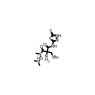 CN(O[SiH](C)C)C(=O)C(N)(CC(C)(C)C)C(=O)Nc1n[nH]c(=S)s1